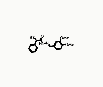 COc1ccc(C=NNC(=O)C(c2ccccc2)C(C)C)cc1OC